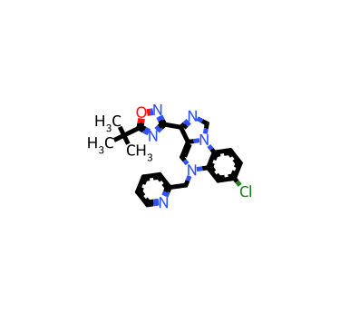 CC(C)(C)c1nc(C2=NCN3C2=CN(Cc2ccccn2)c2cc(Cl)ccc23)no1